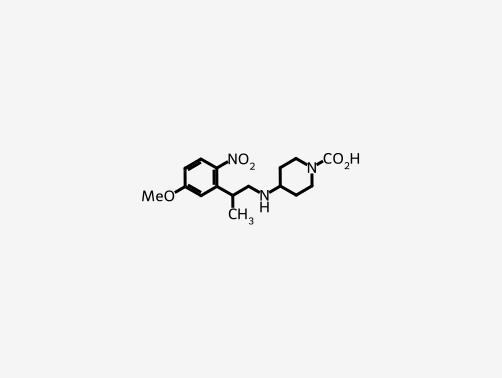 COc1ccc([N+](=O)[O-])c(C(C)CNC2CCN(C(=O)O)CC2)c1